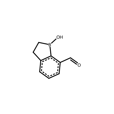 O=Cc1cccc2c1B(O)CC2